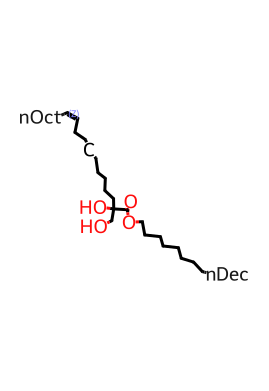 CCCCCCCC/C=C\CCCCCCCCC(O)(CO)C(=O)OCCCCCCCCCCCCCCCCCC